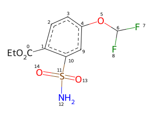 CCOC(=O)c1ccc(OC(F)F)cc1S(N)(=O)=O